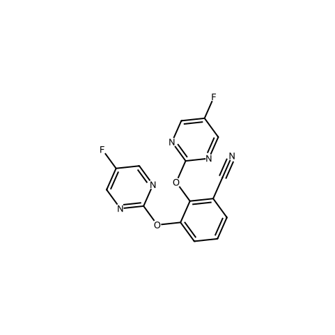 N#Cc1cccc(Oc2ncc(F)cn2)c1Oc1ncc(F)cn1